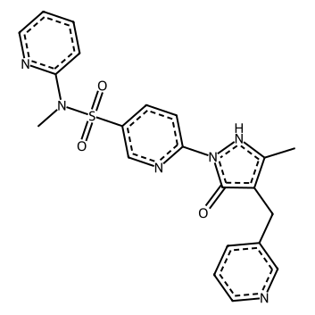 Cc1[nH]n(-c2ccc(S(=O)(=O)N(C)c3ccccn3)cn2)c(=O)c1Cc1cccnc1